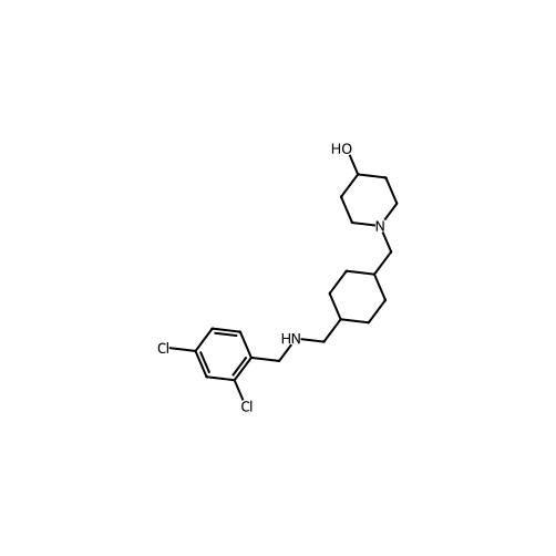 OC1CCN(CC2CCC(CNCc3ccc(Cl)cc3Cl)CC2)CC1